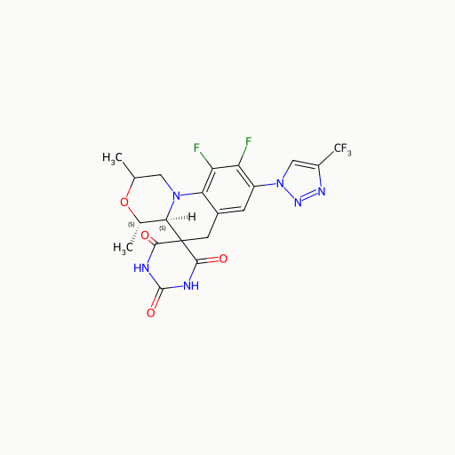 CC1CN2c3c(cc(-n4cc(C(F)(F)F)nn4)c(F)c3F)CC3(C(=O)NC(=O)NC3=O)[C@H]2[C@H](C)O1